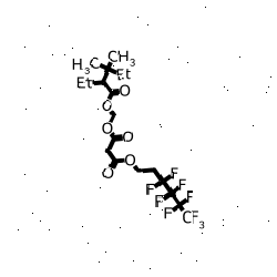 CCC(C(=O)OCOC(=O)CC(=O)OCCC(F)(F)C(F)(F)C(F)(F)C(F)(F)F)C(C)(C)CC